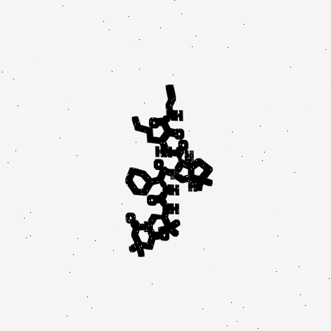 C=CCNC(=O)C(=O)C(CCCC)NC(=O)[C@@H]1[C@H]2CCC(C)(C)[C@H]2CN1C(=O)[C@@H](NC(=O)N[C@H](CN1C(=O)CC(C)(C)CC1=O)C(C)(C)C)C1CCCCC1